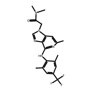 Cc1cc2c(ncn2CC(=O)N(C)C)c(Nc2c(C)cc(C(F)(F)F)cc2C)n1